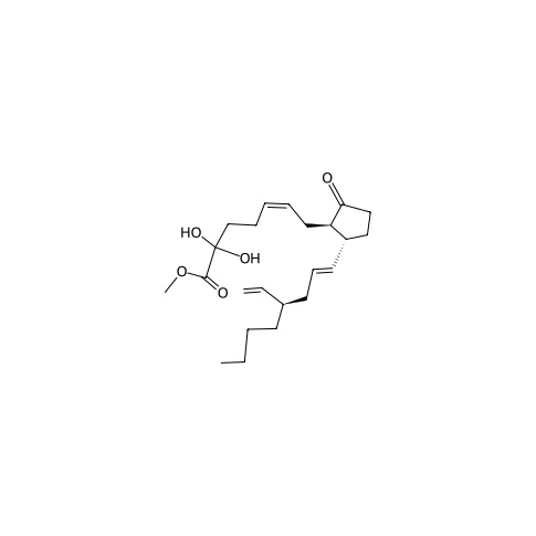 C=C[C@@H](C/C=C/[C@H]1CCC(=O)[C@@H]1C/C=C\CCC(O)(O)C(=O)OC)CCCC